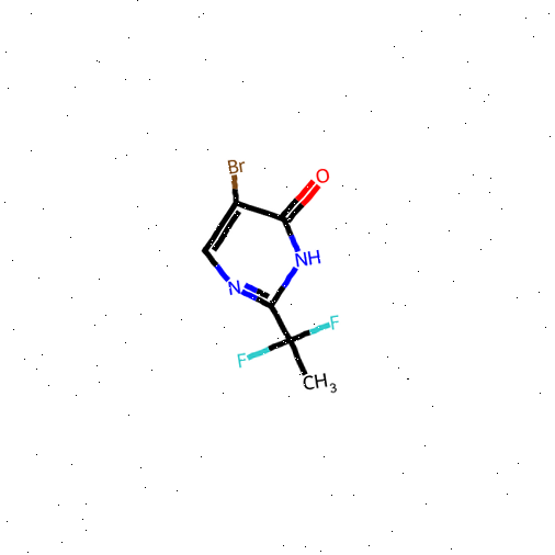 CC(F)(F)c1ncc(Br)c(=O)[nH]1